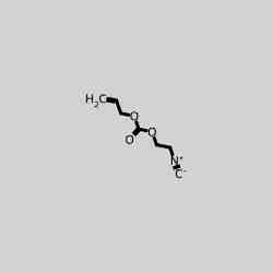 [C-]#[N+]CCOC(=O)OCC=C